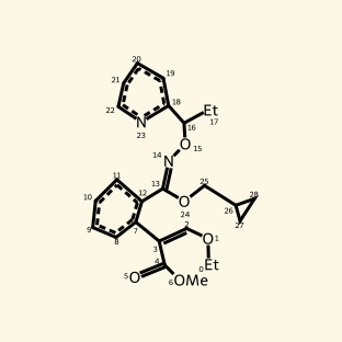 CCOC=C(C(=O)OC)c1ccccc1C(=NOC(CC)c1ccccn1)OCC1CC1